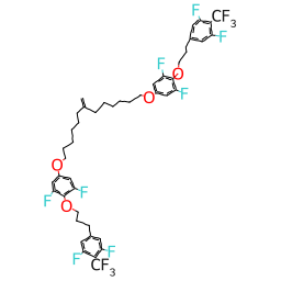 C=C(CCCCCCOc1cc(F)c(OCCCc2cc(F)c(C(F)(F)F)c(F)c2)c(F)c1)CCCCCCOc1cc(F)c(OCCCc2cc(F)c(C(F)(F)F)c(F)c2)c(F)c1